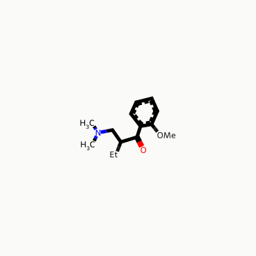 CCC(CN(C)C)C(=O)c1ccccc1OC